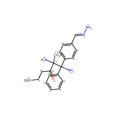 NN=Cc1ccc(C(N)(c2ccccc2)C(N)(C(=O)O)C(=O)CCC=O)cc1